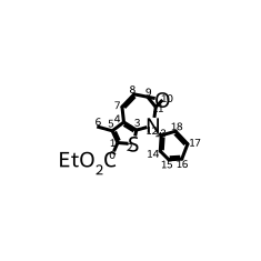 CCOC(=O)c1sc2c(c1C)C=CC1OC1N2c1ccccc1